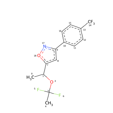 CC(OC(C)(F)F)c1cc(-c2ccc(C(F)(F)F)cc2)no1